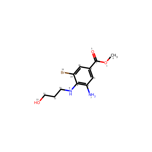 COC(=O)c1cc(N)c(NCCCO)c(Br)c1